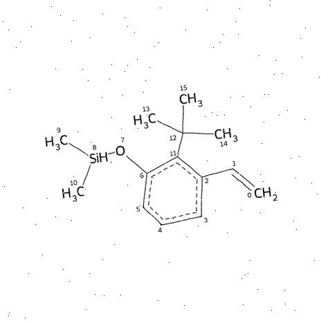 C=Cc1cccc(O[SiH](C)C)c1C(C)(C)C